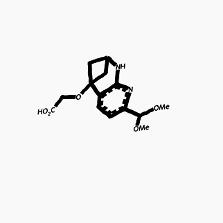 COC(OC)c1ccc2c(n1)NC1CC2(OCC(=O)O)C1